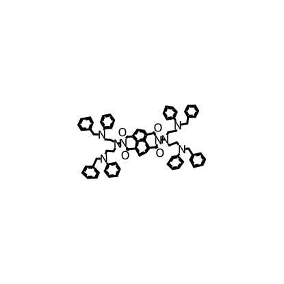 O=C1c2ccc3c4c(ccc(c24)C(=O)N1N(CCN(Cc1ccccc1)c1ccccc1)CCN(Cc1ccccc1)c1ccccc1)C(=O)N(N(CCN(Cc1ccccc1)c1ccccc1)CCN(Cc1ccccc1)c1ccccc1)C3=O